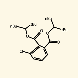 CCCCC(OC(=O)c1cccc(Cl)c1C(=O)OC(CCCC)C(C)(C)C)C(C)(C)C